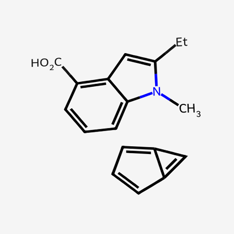 CCc1cc2c(C(=O)O)cccc2n1C.c1cc2cc-2c1